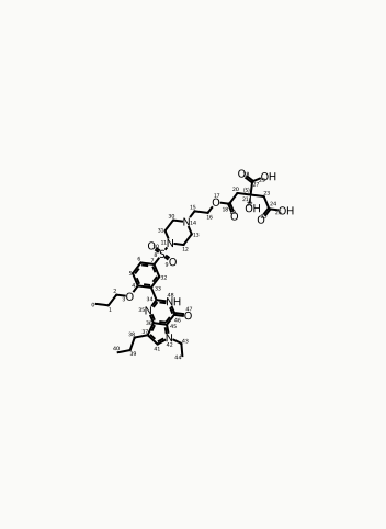 CCCOc1ccc(S(=O)(=O)N2CCN(CCOC(=O)C[C@@](O)(CC(=O)O)C(=O)O)CC2)cc1-c1nc2c(CCC)cn(CC)c2c(=O)[nH]1